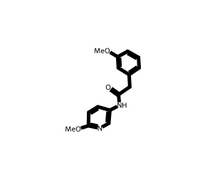 COc1cccc(CC(=O)Nc2ccc(OC)nc2)c1